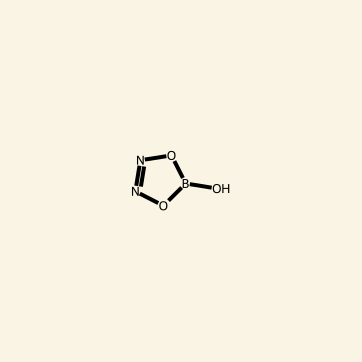 OB1ON=NO1